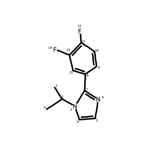 CC(C)n1ccnc1-c1ccc(F)c(F)c1